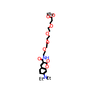 CCN(CC)c1ccc2cc(C(=O)NCCOCCOCCOCCOCCC(=O)OC(C)(C)C)c(=O)oc2c1